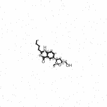 CCCCc1nc(=O)c2cc([C@H]3C[C@@H](CO)ON3C)ccc2[nH]1